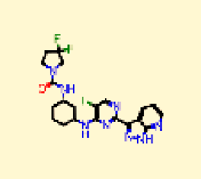 O=C(N[C@@H]1CCCC(Nc2nc(-c3n[nH]c4ncccc34)ncc2F)C1)N1CCC(F)(F)C1